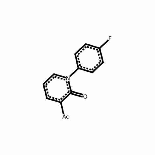 CC(=O)c1cccn(-c2ccc(F)cc2)c1=O